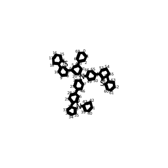 c1ccc(-c2cc(-c3cccc4c3sc3ccccc34)cc(N(c3ccc(-c4ccc5c6ccccc6n(-c6ccccc6)c5c4)cc3)c3ccc(-c4cccc5c4sc4ccccc45)cc3)c2)cc1